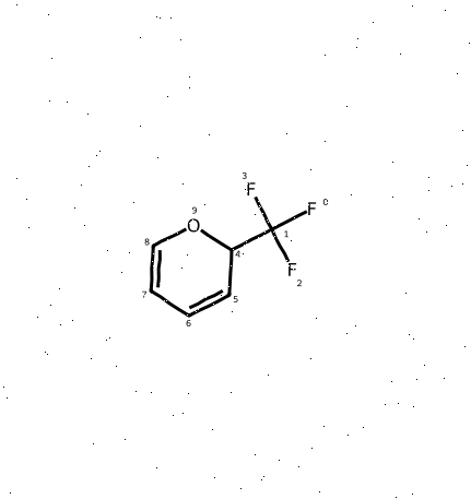 FC(F)(F)C1C=CC=CO1